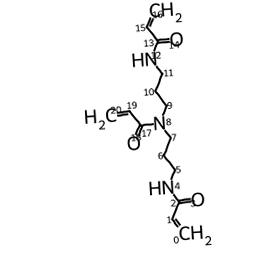 C=CC(=O)NCCCN(CCCNC(=O)C=C)C(=O)C=C